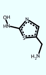 NCc1cnc(NO)s1